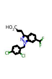 O=C(O)C=Cc1nn(Cc2ccc(Cl)cc2Cl)c2cc(C(F)F)ccc12